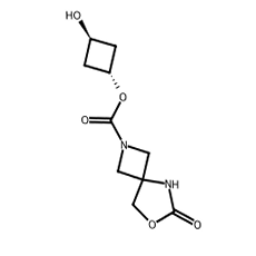 O=C1NC2(CO1)CN(C(=O)O[C@H]1C[C@H](O)C1)C2